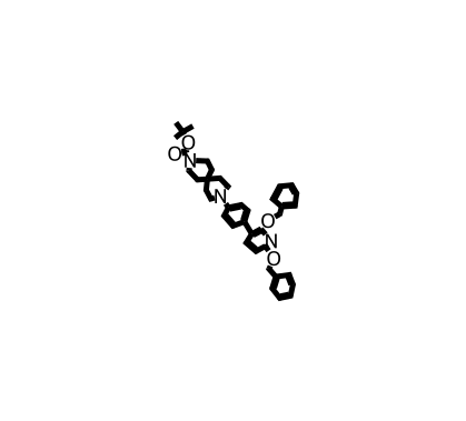 CC(C)(C)OC(=O)N1CCC2(CC1)CCN(c1ccc(-c3ccc(OCc4ccccc4)nc3OCc3ccccc3)cc1)CC2